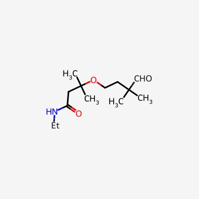 CCNC(=O)CC(C)(C)OCCC(C)(C)C=O